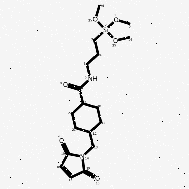 CO[Si](CCCNC(=O)C1CCC(CN2C(=O)C=CC2=O)CC1)(OC)OC